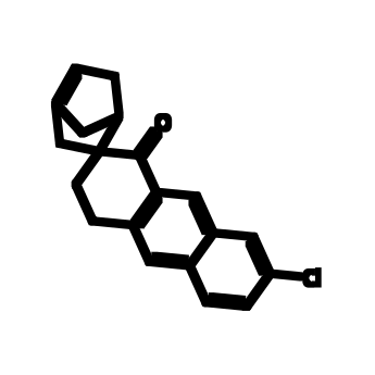 O=C1c2cc3cc(Cl)ccc3cc2CCC12CC1=CCC2C1